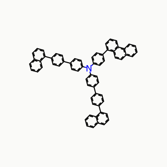 c1ccc2c(-c3ccc(-c4ccc(N(c5ccc(-c6ccc(-c7cccc8ccccc78)cc6)cc5)c5ccc(-c6cccc7c6ccc6ccccc67)cc5)cc4)cc3)cccc2c1